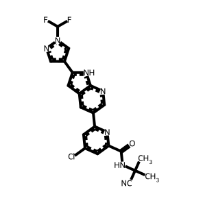 CC(C)(C#N)NC(=O)c1cc(Cl)cc(-c2cnc3[nH]c(-c4cnn(C(F)F)c4)cc3c2)n1